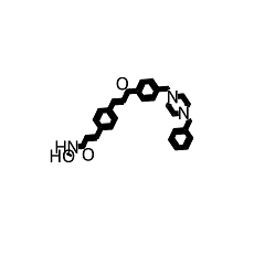 O=C(/C=C/c1ccc(/C=C/C(=O)c2ccc(CN3CCN(Cc4ccccc4)CC3)cc2)cc1)NO